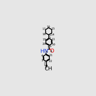 C#Cc1ccc(NC(=O)c2ccc(C3CCCCC3)cc2)cc1